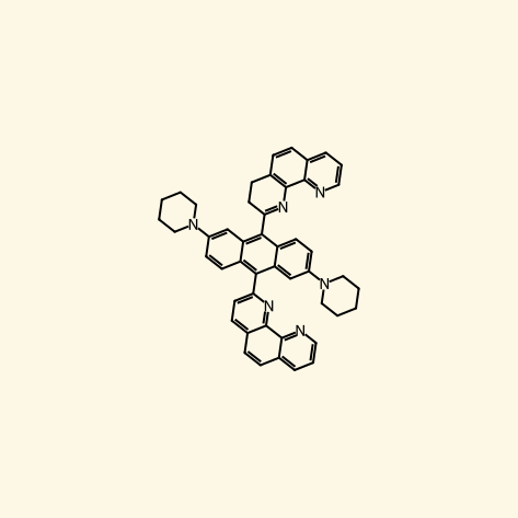 c1cnc2c3c(ccc2c1)CCC(c1c2cc(N4CCCCC4)ccc2c(-c2ccc4ccc5cccnc5c4n2)c2cc(N4CCCCC4)ccc12)=N3